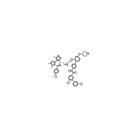 COc1cccc(-c2cc(C(=O)Nc3ccc(-c4ccc(OC5CCN(C)CC5)cc4OCCN(C)CC[C@@H]4N=C(c5ccc(Cl)cc5)c5c(sc(C)c5C)-n5c(C)nnc54)cc3)ccc2OC)c1